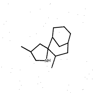 CC1CNC2(C1)C(C)CC1CCCC2C1